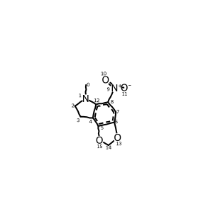 CN1CCc2c3c(cc([N+](=O)[O-])c21)OCO3